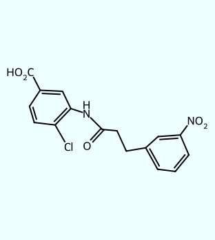 O=C(CCc1cccc([N+](=O)[O-])c1)Nc1cc(C(=O)O)ccc1Cl